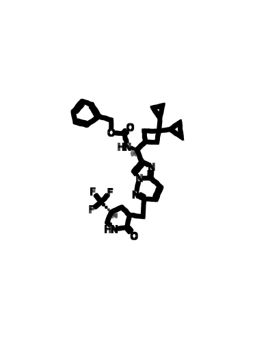 O=C(N[C@H](c1cn2nc(CC3C[C@@H](C(F)(F)F)CNC3=O)ccc2n1)C1CC(C2CC2)(C2CC2)C1)OCc1ccccc1